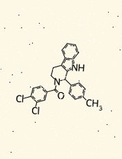 Cc1ccc(C2c3[nH]c4ccccc4c3CCN2C(=O)c2ccc(Cl)c(Cl)c2)cc1